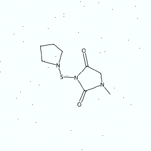 CN1CC(=O)N(SN2CCCC2)C1=O